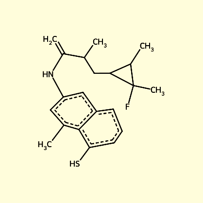 C=C(Nc1cc(C)c2c(S)cccc2c1)C(C)CC1C(C)C1(C)F